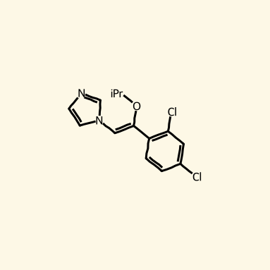 CC(C)O/C(=C\n1ccnc1)c1ccc(Cl)cc1Cl